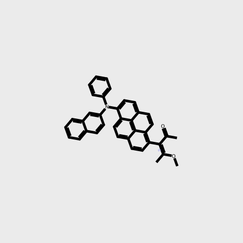 CO/C(C)=C(\C(C)=O)c1ccc2ccc3c(N(c4ccccc4)c4ccc5ccccc5c4)ccc4ccc1c2c43